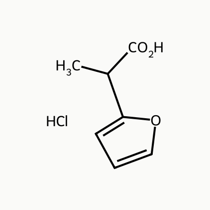 CC(C(=O)O)c1ccco1.Cl